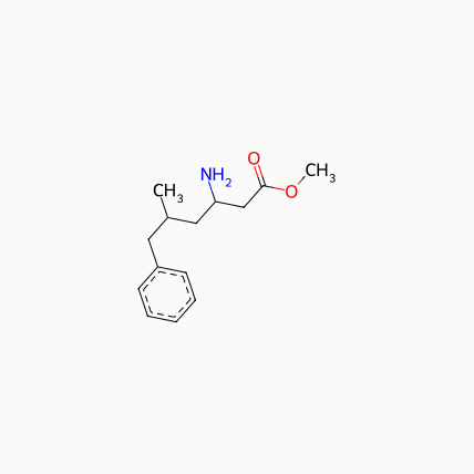 COC(=O)CC(N)CC(C)Cc1ccccc1